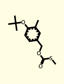 CSC(=O)OCc1ccc(OC(C)(C)C)c(C)c1